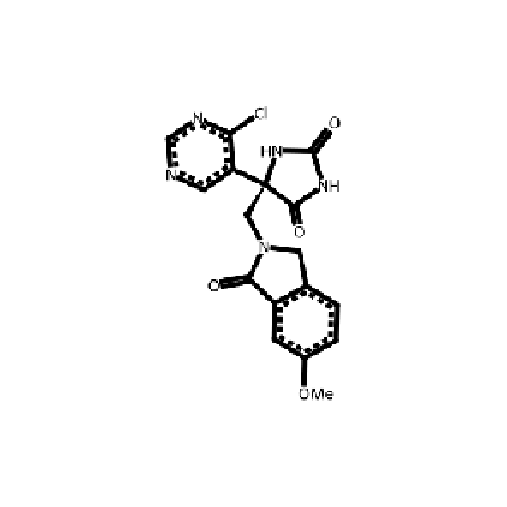 COc1ccc2c(c1)C(=O)N(C[C@@]1(c3cncnc3Cl)NC(=O)NC1=O)C2